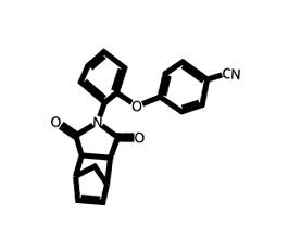 N#Cc1ccc(Oc2ccccc2N2C(=O)C3C4C=CC(C4)C3C2=O)cc1